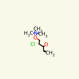 C=CC(=O)CCO[N+](C)(C)C.[Cl-]